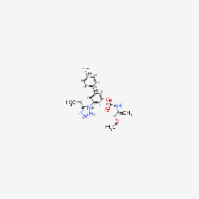 CCc1nnnn1-c1cc(OC(=O)NC(C)COC)cc(-c2ccc(Cl)cc2)c1